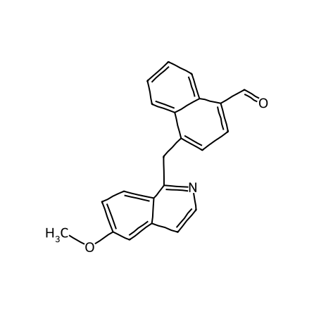 COc1ccc2c(Cc3ccc(C=O)c4ccccc34)nccc2c1